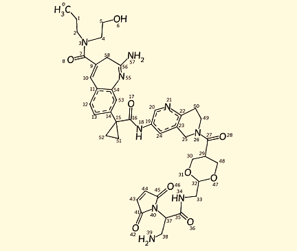 CCCN(CCO)C(=O)C1=Cc2ccc(C3(C(=O)Nc4cnc5c(c4)CN(C(=O)C4COC(CNC(=O)C(CN)N6C(=O)C=CC6=O)OC4)CC5)CC3)cc2N=C(N)C1